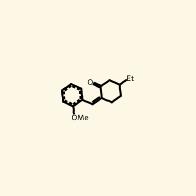 CCC1CC/C(=C/c2ccccc2OC)C(=O)C1